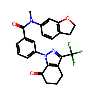 CN(C(=O)c1cccc(-n2nc(C(F)(F)F)c3c2C(=O)CCC3)c1)c1ccc2c(c1)OCC2